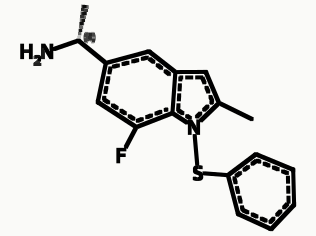 Cc1cc2cc([C@@H](C)N)cc(F)c2n1Sc1ccccc1